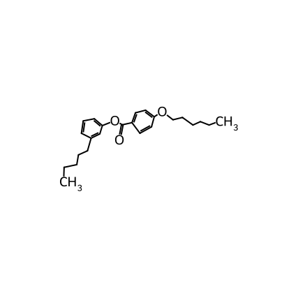 CCCCCCOc1ccc(C(=O)Oc2cccc(CCCCC)c2)cc1